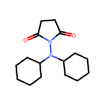 O=C1CCC(=O)N1N(C1CCCCC1)C1CCCCC1